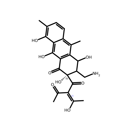 CC(=O)/C(C(=O)[C@@]1(O)C(=O)c2c(c(C)c3ccc(C)c(O)c3c2O)C(O)C1CN)=C(/C)O